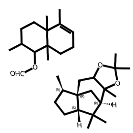 CC1=CCCC2(C)C(OC=O)C(C)CCC12C.C[C@@H]1CC[C@H]2C(C)(C)[C@H]3C[C@@]12CC1OC(C)(C)OC13C